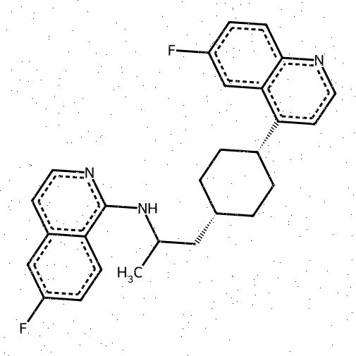 CC(C[C@H]1CC[C@@H](c2ccnc3ccc(F)cc32)CC1)Nc1nccc2cc(F)ccc12